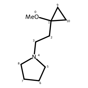 COC1(CCN2CCCC2)CC1